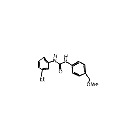 CCc1cccc(NC(=O)Nc2ccc(COC)cc2)c1